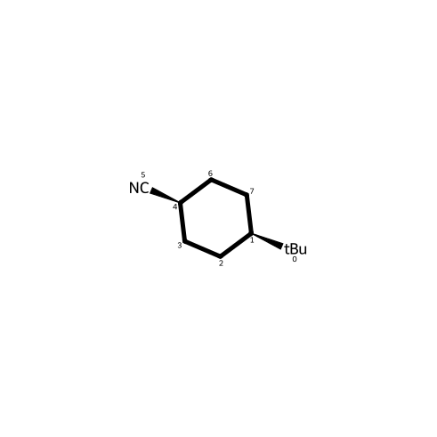 CC(C)(C)[C@H]1CC[C@@H](C#N)CC1